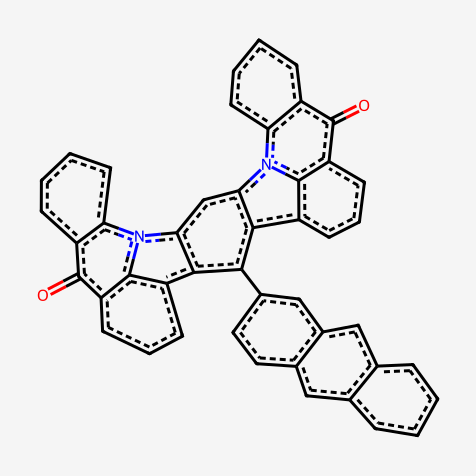 O=c1c2ccccc2n2c3cc4c(c(-c5ccc6cc7ccccc7cc6c5)c3c3cccc1c32)c1cccc2c(=O)c3ccccc3n4c21